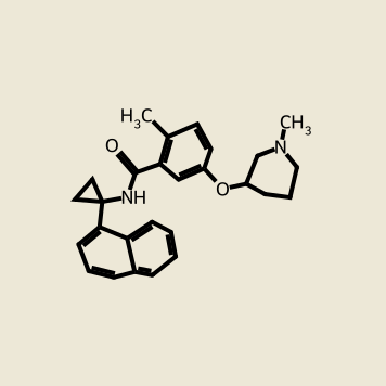 Cc1ccc(OC2CCCN(C)C2)cc1C(=O)NC1(c2cccc3ccccc23)CC1